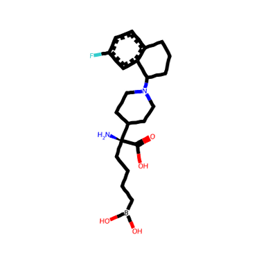 N[C@](CCCCB(O)O)(C(=O)O)C1CCN(C2CCCc3ccc(F)cc32)CC1